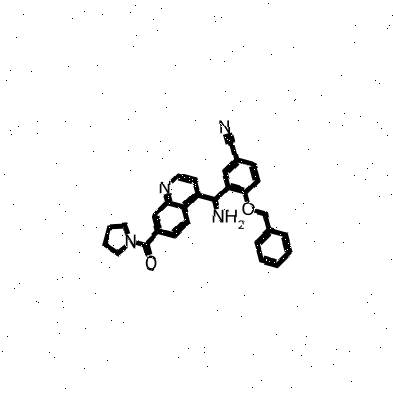 N#Cc1ccc(OCc2ccccc2)c(C(N)c2ccnc3cc(C(=O)N4CCCC4)ccc23)c1